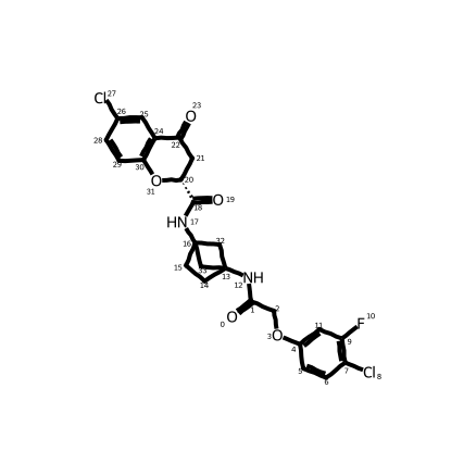 O=C(COc1ccc(Cl)c(F)c1)NC12CCC(NC(=O)[C@H]3CC(=O)c4cc(Cl)ccc4O3)(C1)C2